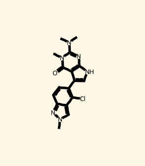 CN(C)c1nc2[nH]cc(-c3ccc4nn(C)cc4c3Cl)c2c(=O)n1C